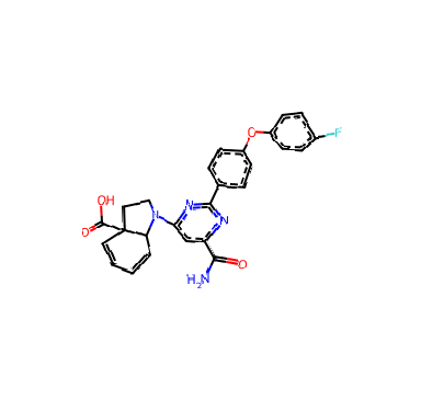 NC(=O)c1cc(N2CCC3(C(=O)O)C=CC=CC23)nc(-c2ccc(Oc3ccc(F)cc3)cc2)n1